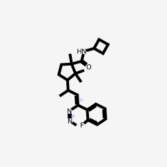 C/N=N\C(=C/C(C)C1CCC(C)(C(=O)NC2CCC2)C1(C)C)c1ccccc1F